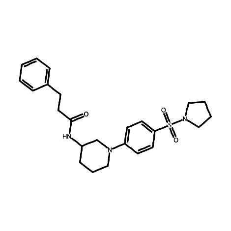 O=C(CCc1ccccc1)NC1CCCN(c2ccc(S(=O)(=O)N3CCCC3)cc2)C1